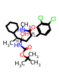 CNC(=O)[C@H](Cc1ccc(Cl)c(Cl)c1)C[C@@](O)(NC(=O)OC(C)(C)C)[C@@H](C)C1CCCCC1